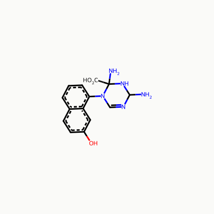 NC1N=CN(c2cccc3ccc(O)cc23)C(N)(C(=O)O)N1